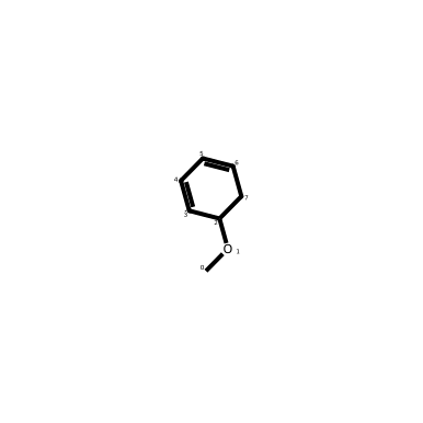 COC1[C]=CC=CC1